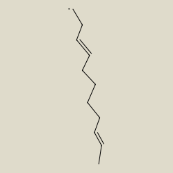 [CH2]CC=CCCCCC=CC